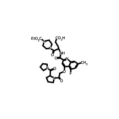 CCOC(=O)N1CCN(C(=O)C(CCC(=O)O)NC(=O)c2cc(OCC(=O)N3CCCC3C(=O)N3CCCC3)c3c(F)cc(C)cc3n2)CC1